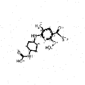 COc1nc(NC2CCC(NC(=O)O)CC2)c(C)cc1C(N)=O